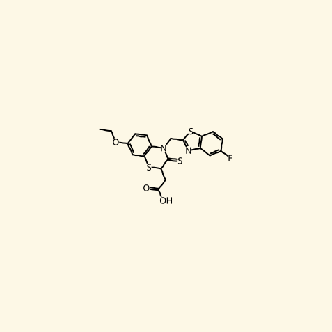 CCOc1ccc2c(c1)SC(CC(=O)O)C(=S)N2Cc1nc2cc(F)ccc2s1